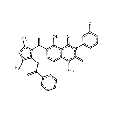 Cc1nn(C)c(OC(=O)c2ccccc2)c1C(=O)c1ccc2c(c1C)c(=O)n(-c1cccc(Cl)c1)c(=O)n2C